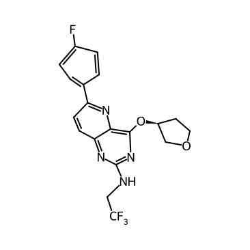 Fc1ccc(-c2ccc3nc(NCC(F)(F)F)nc(O[C@H]4CCOC4)c3n2)cc1